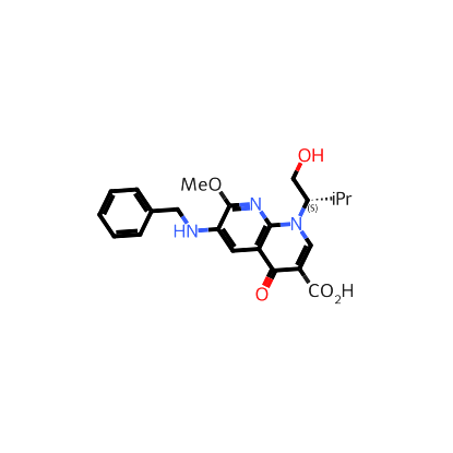 COc1nc2c(cc1NCc1ccccc1)c(=O)c(C(=O)O)cn2[C@H](CO)C(C)C